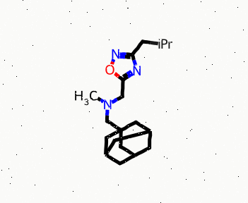 CC(C)Cc1noc(CN(C)CC23CC4CC(CC(C4)C2)C3)n1